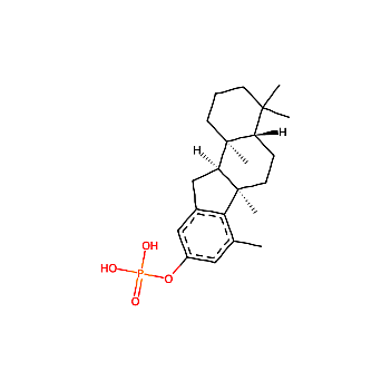 Cc1cc(OP(=O)(O)O)cc2c1[C@]1(C)CC[C@H]3C(C)(C)CCC[C@]3(C)[C@@H]1C2